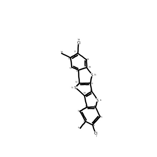 Cc1cc2c(cc1Cl)sc1c2sc2c3cc(C)c(Cl)cc3sc21